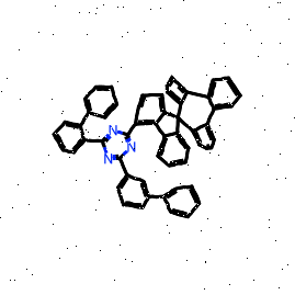 c1ccc(-c2cccc(-c3nc(-c4ccccc4-c4ccccc4)nc(-c4cccc5c4-c4ccccc4C54c5ccccc5-c5ccccc5-c5ccccc54)n3)c2)cc1